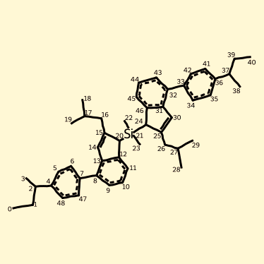 CCC(C)c1ccc(-c2cccc3c2C=C(CC(C)C)C3[Si](C)(C)C2C(CC(C)C)=Cc3c(-c4ccc(C(C)CC)cc4)cccc32)cc1